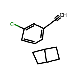 C#Cc1cccc(Cl)c1.C1CC2CCC12